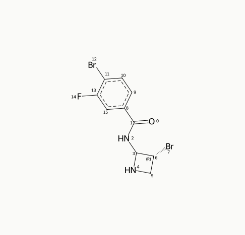 O=C(NC1NC[C@H]1Br)c1ccc(Br)c(F)c1